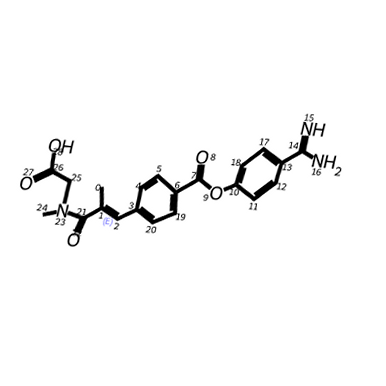 C/C(=C\c1ccc(C(=O)Oc2ccc(C(=N)N)cc2)cc1)C(=O)N(C)CC(=O)O